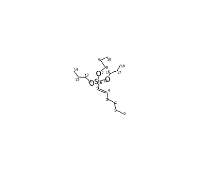 CCCCC=C[Si](OCCC)(OCCC)OCCC